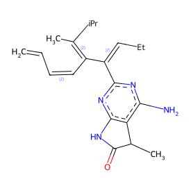 C=C\C=C/C(C(=C/CC)/c1nc(N)c2c(n1)NC(=O)C2C)=C(\C)C(C)C